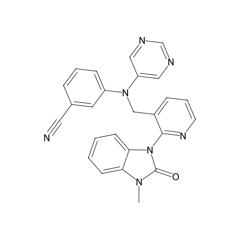 Cn1c(=O)n(-c2ncccc2CN(c2cncnc2)c2cccc(C#N)c2)c2ccccc21